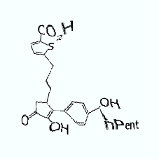 CCCCC[C@H](O)c1ccc(C2=C(O)C(=O)CC2CCCc2ccc(C(=O)O)s2)cc1